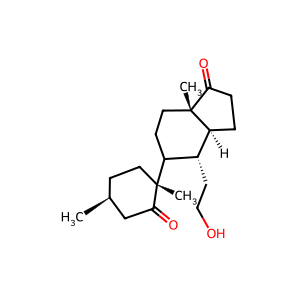 C[C@H]1CC[C@](C)(C2CC[C@]3(C)C(=O)CC[C@H]3[C@@H]2CCO)C(=O)C1